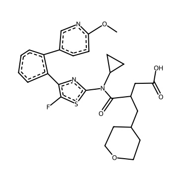 COc1ccc(-c2ccccc2-c2nc(N(C(=O)C(CC(=O)O)CC3CCOCC3)C3CC3)sc2F)cn1